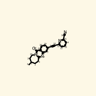 CC1CCc2nc3cc(C#Cc4cccc(C#N)n4)ccc3c(=O)n2CC1